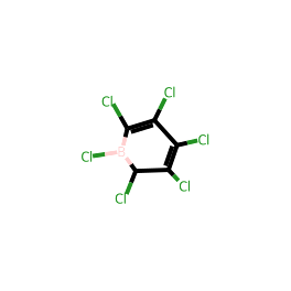 ClB1C(Cl)=C(Cl)C(Cl)=C(Cl)C1Cl